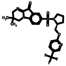 CC1(C)CN=C2C(=O)c3cc(S(=O)(=O)N4CCC[C@H]4COc4ccc(C(F)(F)F)cn4)ccc3N2C1